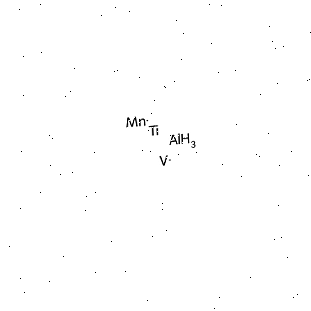 [AlH3].[Mn].[Ti].[V]